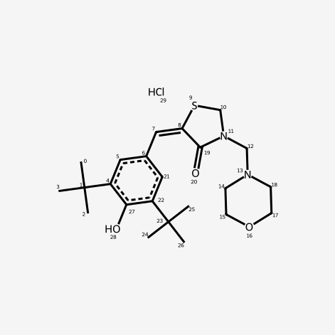 CC(C)(C)c1cc(C=C2SCN(CN3CCOCC3)C2=O)cc(C(C)(C)C)c1O.Cl